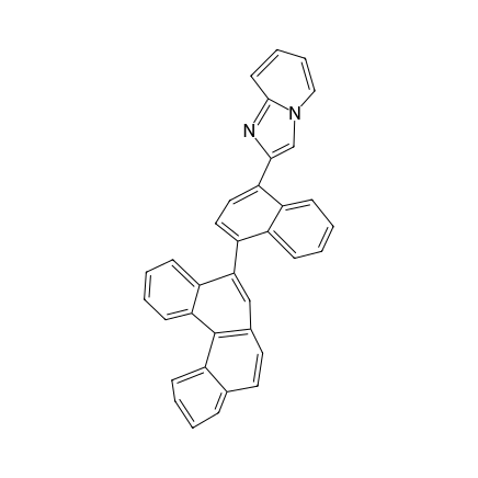 c1ccc2c(c1)ccc1cc(-c3ccc(-c4cn5ccccc5n4)c4ccccc34)c3ccccc3c12